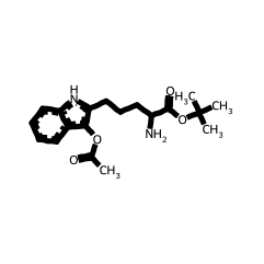 CC(=O)Oc1c(CCCC(N)C(=O)OC(C)(C)C)[nH]c2ccccc12